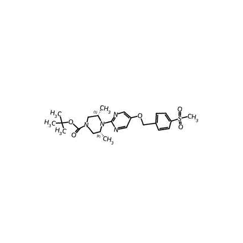 C[C@@H]1CN(C(=O)OC(C)(C)C)C[C@H](C)N1c1ncc(OCc2ccc(S(C)(=O)=O)cc2)cn1